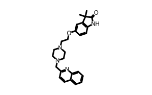 CC1(C)C(=O)Nc2ccc(OCCN3CCN(Cc4ccc5ccccc5n4)CC3)cc21